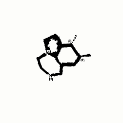 C[C@H]1C=C2CNCCn3ccc(c32)[C@@H]1C